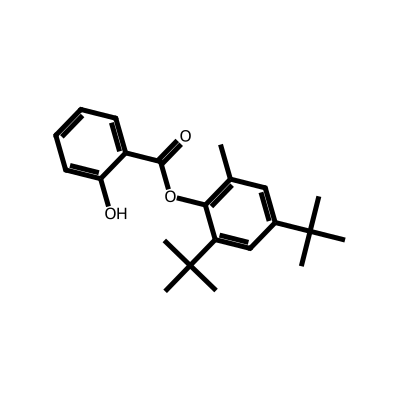 Cc1cc(C(C)(C)C)cc(C(C)(C)C)c1OC(=O)c1ccccc1O